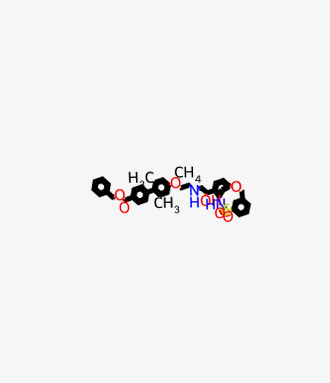 C.Cc1cc(OCCNCC(O)c2ccc3cc2NS(=O)(=O)c2cccc(c2)CO3)cc(C)c1-c1ccc(C(=O)OCc2ccccc2)cc1